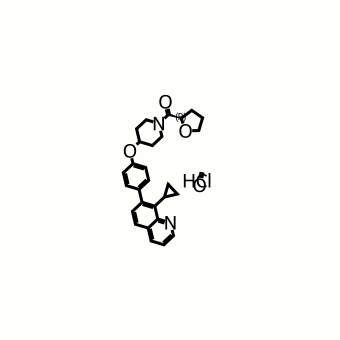 C=O.Cl.O=C([C@H]1CCCO1)N1CCC(Oc2ccc(-c3ccc4cccnc4c3C3CC3)cc2)CC1